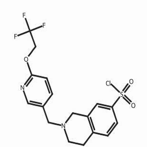 O=S(=O)(Cl)c1ccc2c(c1)CN(Cc1ccc(OCC(F)(F)F)nc1)CC2